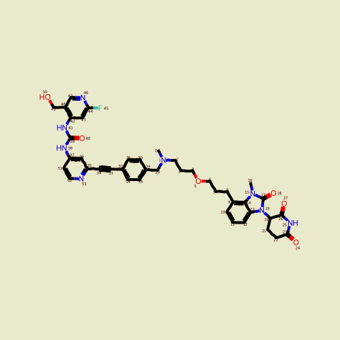 CN(CCCOCCCc1cccc2c1n(C)c(=O)n2C1CCC(=O)NC1=O)Cc1ccc(C#Cc2cc(NC(=O)Nc3cc(F)ncc3CO)ccn2)cc1